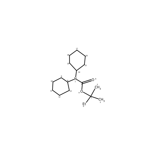 CCC(C)(C)OC(=O)N(C1CCCCC1)C1CCCCC1